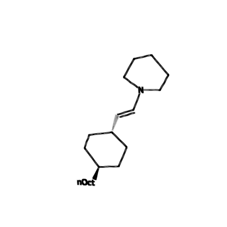 CCCCCCCC[C@H]1CC[C@H](C=CN2CCCCC2)CC1